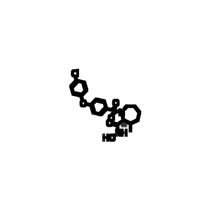 CC1CCCCN(S(=O)(=O)c2ccc(Oc3ccc(Cl)cc3)cc2)[C@@H]1C(=O)NO